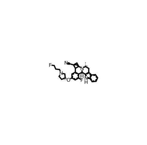 C[C@@H]1Cc2c([nH]c3ccccc23)[C@H]2c3c(F)cc(O[C@@H]4CCN(CCCF)C4)cc3C3C4(C#N)CC3(C4)N21